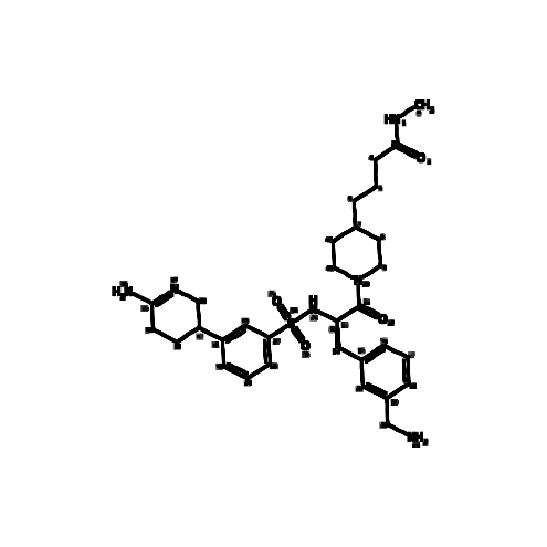 CNC(=O)CCCC1CCN(C(=O)[C@@H](Cc2cccc(CN)c2)NS(=O)(=O)c2cccc(C3CCC(N)=NC3)c2)CC1